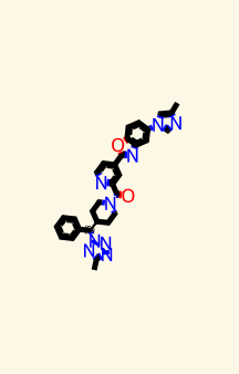 Cc1cn(-c2ccc3oc(-c4ccnc(C(=O)N5CCC([C@H](c6ccccc6)n6nnc(C)n6)CC5)c4)nc3c2)cn1